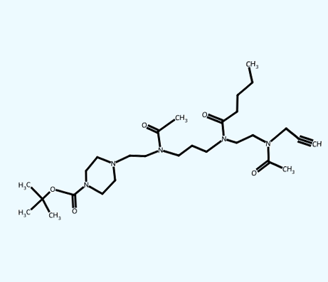 C#CCN(CCN(CCCN(CCN1CCN(C(=O)OC(C)(C)C)CC1)C(C)=O)C(=O)CCCC)C(C)=O